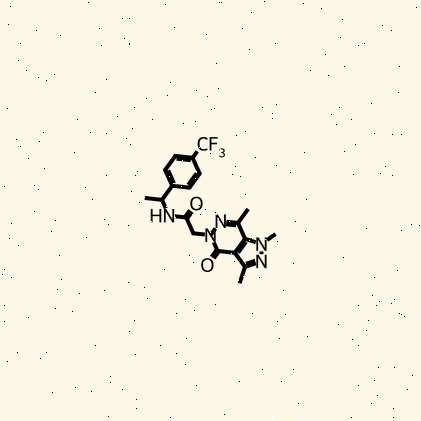 Cc1nn(C)c2c(C)nn(CC(=O)NC(C)c3ccc(C(F)(F)F)cc3)c(=O)c12